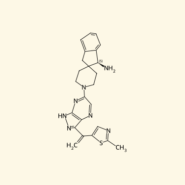 C=C(c1cnc(C)s1)c1n[nH]c2nc(N3CCC4(CC3)Cc3ccccc3[C@H]4N)cnc12